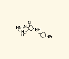 CC(C)c1ccc(CNc2cc(Cl)c(N=C3NCCN3)c(Cl)c2)cc1